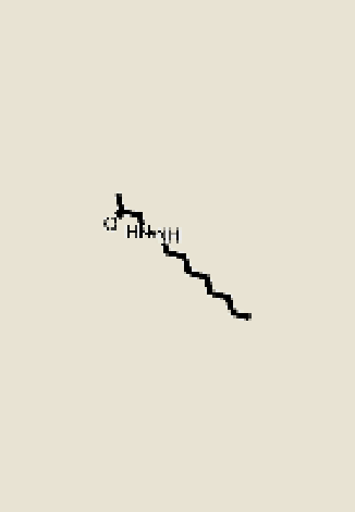 CCCCCCCCNNCC(C)=O